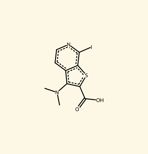 CN(C)c1c(C(=O)O)sc2c(I)nccc12